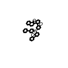 c1ccc(-c2ccc(N(c3ccc4oc5ccc6oc7c8ccccc8ccc7c6c5c4c3)c3cccc4c3oc3ccccc34)cc2)cc1